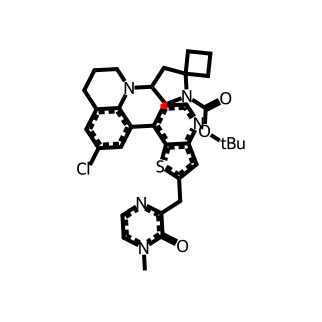 Cn1ccnc(Cc2cc3nccc(-c4cc(Cl)cc5c4N(C4CN(C(=O)OC(C)(C)C)C6(CCC6)C4)CCC5)c3s2)c1=O